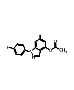 CC(=O)Oc1cc(I)cc2c1cnn2-c1ccc(F)cc1